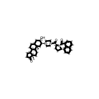 C[C@]12C[C@H](N3CCN(C(=O)[C@@H]4CCCN4C(=O)c4cccc5ccccc45)CC3)[C@@H](O)CC1CCC1C2CC[C@]2(C)C(=O)CCC12